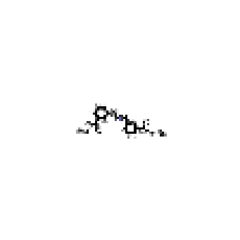 CCCCOC(=O)c1cccc(/N=N/Nc2cccc(C(=O)OCCCC)c2)c1